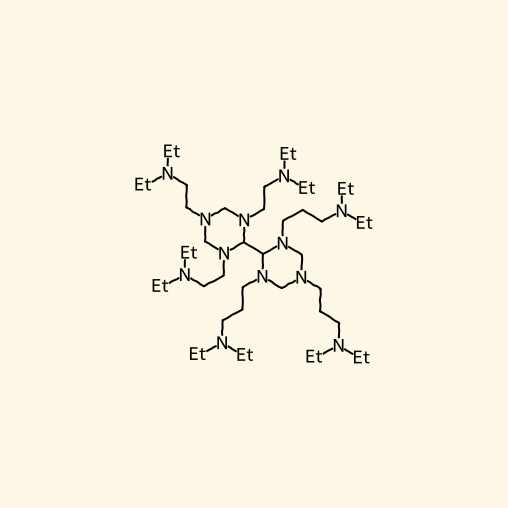 CCN(CC)CCCN1CN(CCCN(CC)CC)C(C2N(CCN(CC)CC)CN(CCN(CC)CC)CN2CCN(CC)CC)N(CCCN(CC)CC)C1